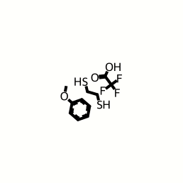 COc1ccccc1.O=C(O)C(F)(F)F.SCCS